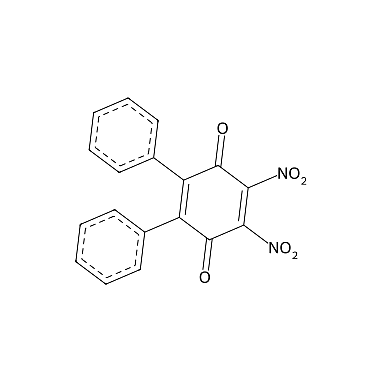 O=C1C(c2ccccc2)=C(c2ccccc2)C(=O)C([N+](=O)[O-])=C1[N+](=O)[O-]